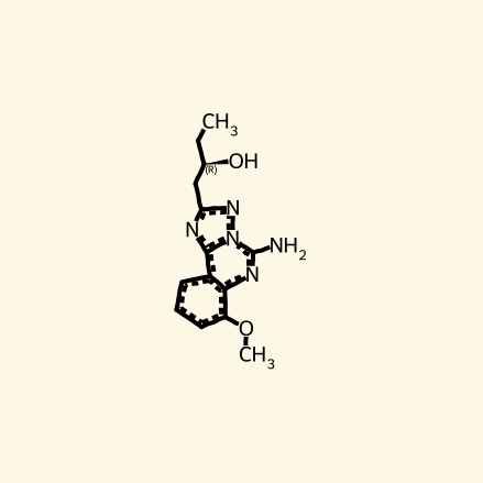 CC[C@@H](O)Cc1nc2c3cccc(OC)c3nc(N)n2n1